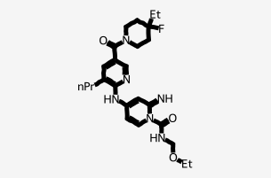 CCCc1cc(C(=O)N2CCC(F)(CC)CC2)cnc1Nc1ccn(C(=O)NCOCC)c(=N)c1